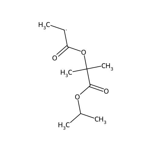 C[CH]C(=O)OC(C)(C)C(=O)OC(C)C